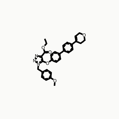 CCOC(=O)c1nnn(Cc2ccc(OC)cc2)c1Oc1ccc(-c2ccc(C3=CCOCC3)cc2)cc1